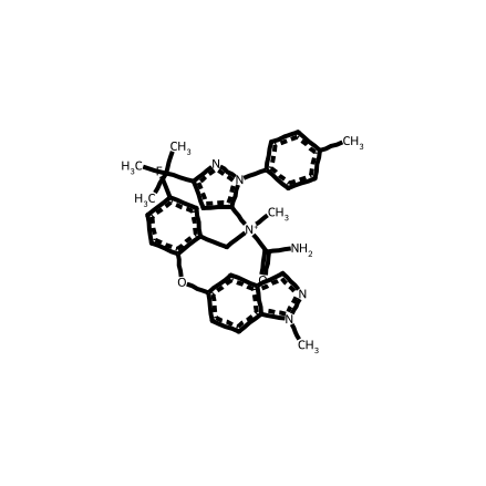 Cc1ccc(-n2nc(C(C)(C)C)cc2[N+](C)(Cc2cc(F)ccc2Oc2ccc3c(cnn3C)c2)C(N)=O)cc1